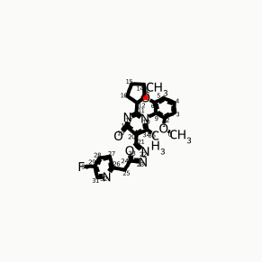 COc1cccc(OC)c1-n1c(C2CCCC2)nc(=O)c(-c2nnc(Cc3ccc(F)cn3)o2)c1C